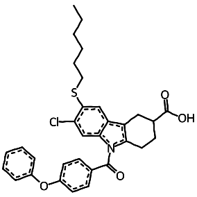 CCCCCCSc1cc2c3c(n(C(=O)c4ccc(Oc5ccccc5)cc4)c2cc1Cl)CCC(C(=O)O)C3